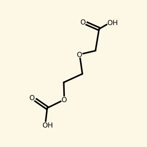 O=C(O)COCCOC(=O)O